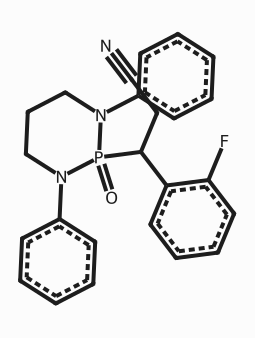 N#CCC(c1ccccc1F)P1(=O)N(c2ccccc2)CCCN1c1ccccc1